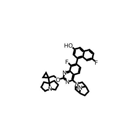 Oc1cc(-c2ccc3c(N4CC5CCC(C4)N5)nc(OCC4(C56CCCN5CCC6)CC4)nc3c2F)c2cc(F)ccc2c1